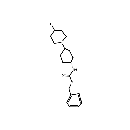 O=C(N[C@H]1CC[C@H](N2CCC(O)CC2)CC1)OCc1ccccc1